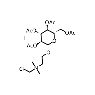 CC(=O)OC[C@@H]1O[C@H](OCC[N+](C)(C)CCl)[C@@H](OC(C)=O)[C@H](OC(C)=O)[C@H]1OC(C)=O.[I-]